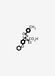 CCC(C(=O)O)n1c(=NC(=O)c2ccc(C)cc2)sc2ccc(OC3CCCCC3)cc21